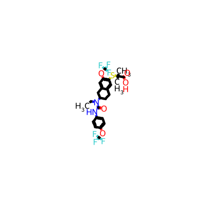 CCN(C(=O)Nc1ccc(OC(F)(F)F)cc1)C1CCc2cc(SC(C)(C)C(=O)O)c(OC(F)(F)F)cc2C1